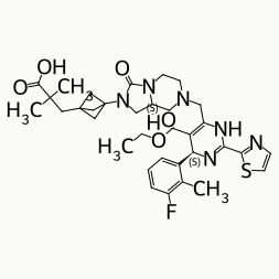 CCOC(=O)C1=C(CN2CCN3C(=O)N(C45CC(CC(C)(C)C(=O)O)(C4)C5)C[C@@H]3C2)NC(c2nccs2)=N[C@H]1c1cccc(F)c1C